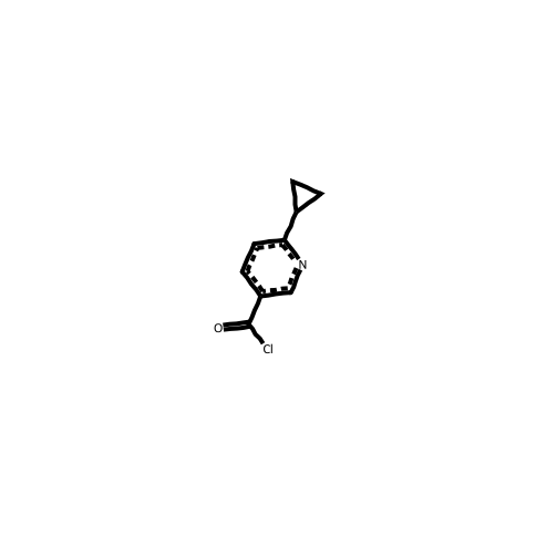 O=C(Cl)c1ccc(C2CC2)nc1